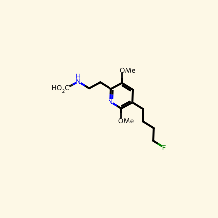 COc1cc(CCCCF)c(OC)nc1CCNC(=O)O